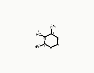 CCCC1CCCC(C(C)C)C1O